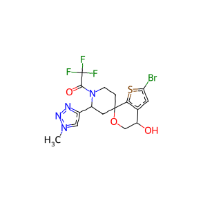 Cn1cc(C2CC3(CCN2C(=O)C(F)(F)F)OCC(O)c2cc(Br)sc23)nn1